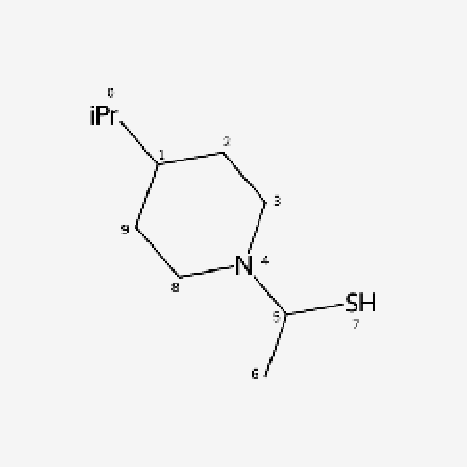 CC(C)C1CCN(C(C)S)CC1